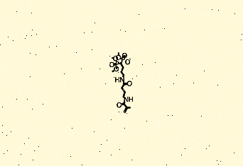 C=C(C)C(=O)NCCCC(=O)NCCCC(P(=O)(OC)OC)P(=O)(OC)OC